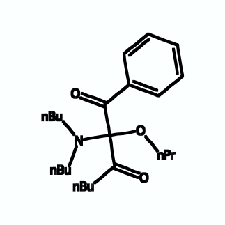 CCCCC(=O)C(OCCC)(C(=O)c1ccccc1)N(CCCC)CCCC